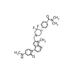 CNc1ccn(-c2ccnc3c2cc(CN2CC[C@@H](c4ccc(C(=O)N(C)C)cc4)C(F)(F)C2)n3C)c(=O)c1